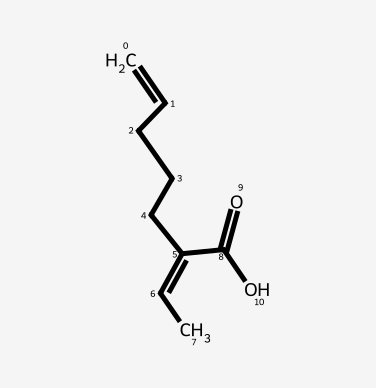 C=CCCCC(=CC)C(=O)O